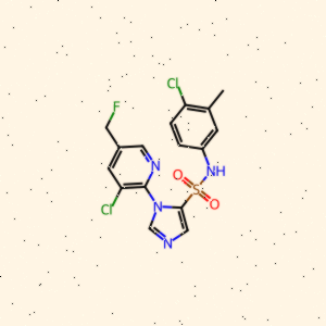 Cc1cc(NS(=O)(=O)c2cncn2-c2ncc(CF)cc2Cl)ccc1Cl